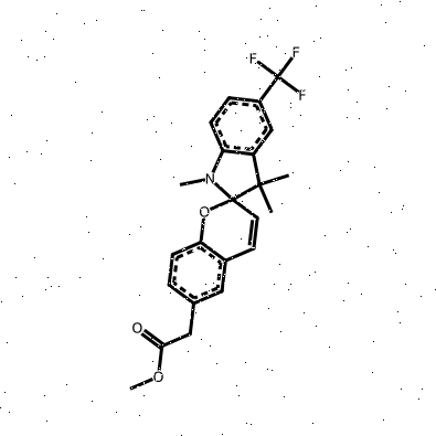 COC(=O)Cc1ccc2c(c1)C=CC1(O2)N(C)c2ccc(C(F)(F)F)cc2C1(C)C